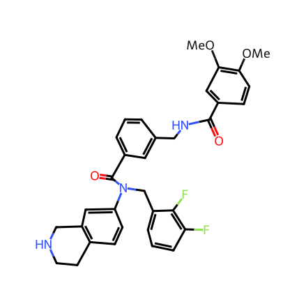 COc1ccc(C(=O)NCc2cccc(C(=O)N(Cc3cccc(F)c3F)c3ccc4c(c3)CNCC4)c2)cc1OC